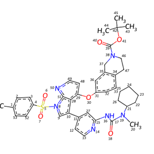 Cc1ccc(S(=O)(=O)n2cc(-c3ccnc(NC(=O)N(C)C4CCCCC4)c3)c3c(Oc4ccc5c(c4)CN(C(=O)OC(C)(C)C)CC5)ccnc32)cc1